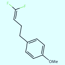 COc1ccc(CCC=C(F)F)cc1